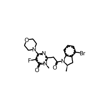 C[C@@H]1Cc2c(Br)cccc2N1C(=O)Cc1nc(N2CCOCC2)c(F)c(=O)n1C